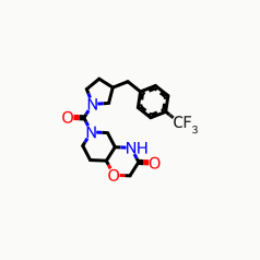 O=C1COC2CCN(C(=O)N3CCC(Cc4ccc(C(F)(F)F)cc4)C3)CC2N1